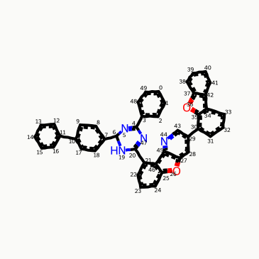 c1ccc(C2=NC(c3ccc(-c4ccccc4)cc3)NC(c3cccc4oc5cc(-c6cccc7c6oc6ccccc67)cnc5c34)=N2)cc1